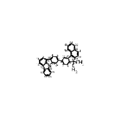 CC1(C)c2ccc(-c3ccc4c5cccc6c7ccccc7n(c4c3)c65)cc2-c2c1ccc1ccccc21